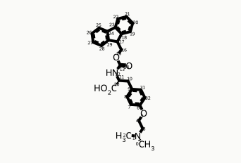 CN(C)CCOc1ccc(C[C@H](NC(=O)OCC2c3ccccc3-c3ccccc32)C(=O)O)cc1